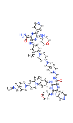 Cc1cc(Nc2nc(NC3CCOCC3)c(-c3ccncc3)nc2C(=O)NCN2CCC3(CC2)CN(C2CCN(c4ccc(Nc5nc(NC6CCOCC6)c(-c6ccncc6)nc5C(N)=O)cc4C)CC2)C3)ccc1N1CCC(N2CCC3(CC2)CN(C)C3)CC1